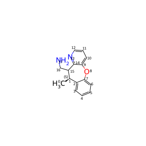 C[C@@H]1c2ccccc2Oc2cccnc2C1CN